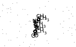 Cc1cnc(-n2cc(CN3CC(c4ccc5c(c4C)COC5=O)NCC3C)cn2)cc1C